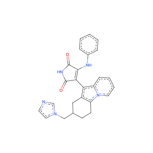 O=C1NC(=O)C(c2c3c(n4ccccc24)CCC(Cn2ccnc2)C3)=C1Nc1ccccc1